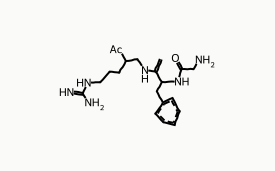 C=C(NCC(CCCNC(=N)N)C(C)=O)C(Cc1ccccc1)NC(=O)CN